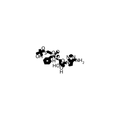 CC(C)(CO)C(=O)SCCOP(=O)(NCc1ccccc1)OC[C@H]1OC(n2ccc3c(N)ncnc32)C(C)(O)C1O